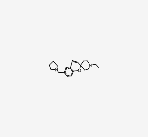 CCN1CCC2(C=Cc3cc(CN4CCCC4)ccc3O2)CC1